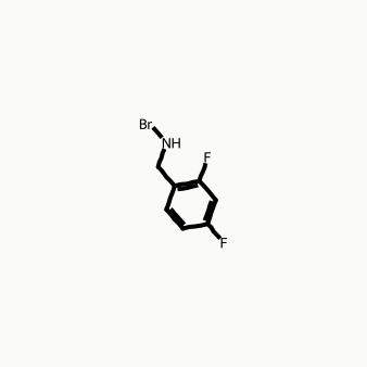 Fc1ccc(CNBr)c(F)c1